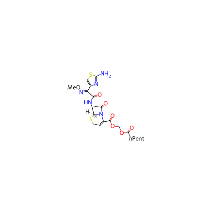 CCCCCC(=O)OCOC(=O)C1=CCS[C@H]2C(NC(=O)C(=NOC)c3csc(N)n3)C(=O)N12